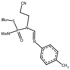 CCC(C)SP(=O)(NC)N(C=Nc1ccc(C)cc1)CCC#N